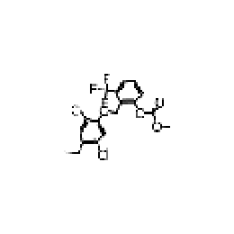 CCc1cc(Cl)c(OCc2c(OC(=O)OC)cccc2C(F)(F)F)cc1Cl